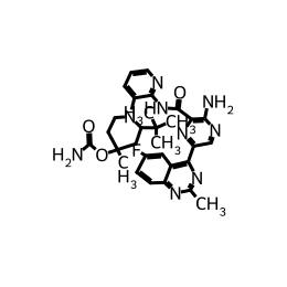 Cc1nc(-c2cnc(N)c(C(=O)Nc3ncccc3N3CCC(C)(OC(N)=O)CC3C(C)(C)C)n2)c2cc(F)ccc2n1